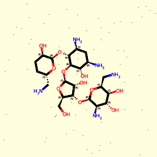 NC[C@@H]1CC[C@@H](O)[C@@H](O[C@H]2[C@H](O[C@@H]3O[C@H](CO)[C@@H](O[C@H]4O[C@@H](CN)[C@@H](O)[C@H](O)[C@H]4N)[C@H]3O)[C@@H](O)[C@H](N)C[C@@H]2N)O1